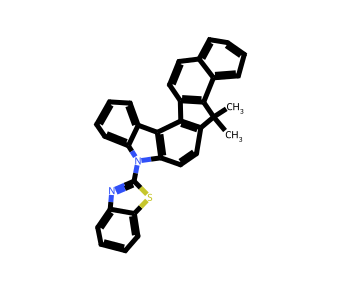 CC1(C)c2ccc3c(c2-c2ccc4ccccc4c21)c1ccccc1n3-c1nc2ccccc2s1